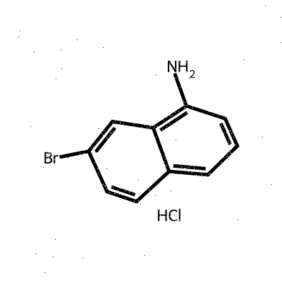 Cl.Nc1cccc2ccc(Br)cc12